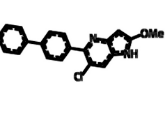 COc1cc2nc(-c3ccc(-c4ccccc4)cc3)c(Cl)cc2[nH]1